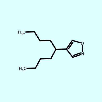 CCCCC(CCCC)c1cnoc1